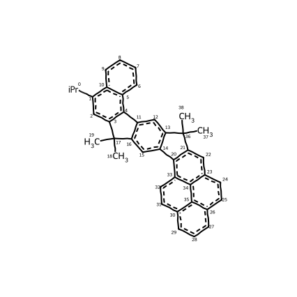 CC(C)c1cc2c(c3ccccc13)-c1cc3c(cc1C2(C)C)-c1c(cc2ccc4cccc5ccc1c2c45)C3(C)C